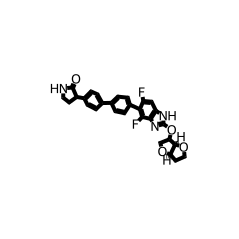 O=C1NCCC1c1ccc(-c2ccc(-c3c(F)cc4[nH]c(OC5CO[C@@H]6CCO[C@H]56)nc4c3F)cc2)cc1